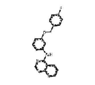 Fc1ccc(COc2cccc([AsH]c3ncnc4ncccc34)c2)cc1